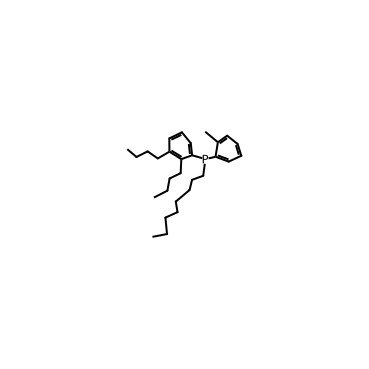 CCCCCCCCP(c1ccccc1C)c1cccc(CCCC)c1CCCC